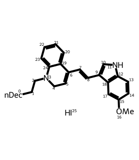 CCCCCCCCCCCCN1CC=C(/C=C/c2c[nH]c3ccc(OC)cc23)c2ccccc21.I